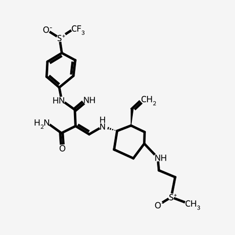 C=C[C@H]1CC(NCC[S+](C)[O-])CC[C@@H]1N/C=C(\C(=N)Nc1ccc([S+]([O-])C(F)(F)F)cc1)C(N)=O